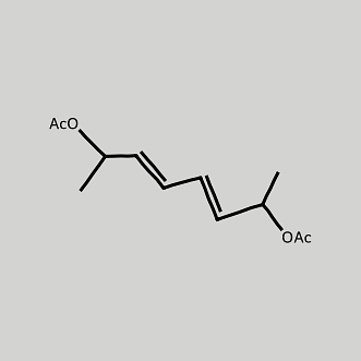 CC(=O)OC(C)C=CC=CC(C)OC(C)=O